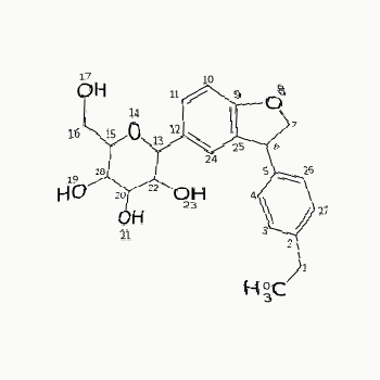 CCc1ccc(C2COc3ccc(C4OC(CO)C(O)C(O)C4O)cc32)cc1